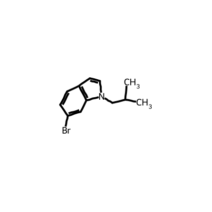 CC(C)Cn1ccc2ccc(Br)cc21